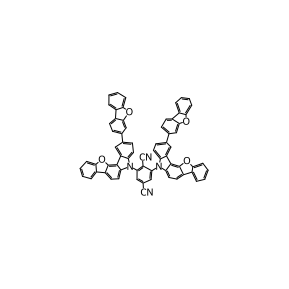 N#Cc1cc(-n2c3ccc(-c4ccc5c(c4)oc4ccccc45)cc3c3c4oc5ccccc5c4ccc32)c(C#N)c(-n2c3ccc(-c4ccc5c(c4)oc4ccccc45)cc3c3c4oc5ccccc5c4ccc32)c1